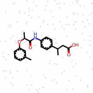 Cc1cccc(OC(C)C(=O)Nc2ccc(C(C)CC(=O)O)cc2)c1